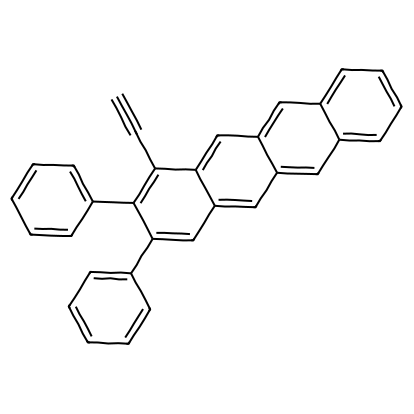 C#Cc1c(-c2ccccc2)c(-c2ccccc2)cc2cc3cc4ccccc4cc3cc12